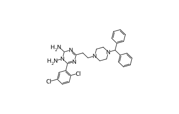 NC1N=C(CCN2CCN(C(c3ccccc3)c3ccccc3)CC2)N=C(c2cc(Cl)ccc2Cl)N1N